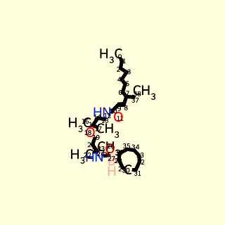 CCCCCCCC(/C=C/C(=O)NCCC(C)(C)OCCC(C)(C)NC(=O)BC1CCCCCCCC1)CC